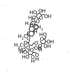 C=C1C[C@@]23CC[C@H]4[C@@](C)(CCC[C@@]4(C)C(=O)O[C@@H]4OC(CO)[C@@H](O)C(O)[C@@H]4O)[C@@H]2CC[C@]1(OCC(OC(C)CO)[C@@H](OC1OC(CO)[C@@H](O)[C@@H](O)[C@@H]1O)[C@@H](CO)COC[C@@H]1OC(CO)[C@@H](O)C(O)[C@@H]1O)C3